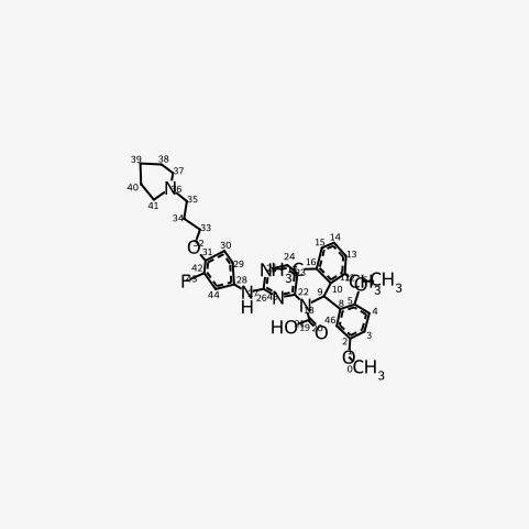 COc1ccc(OC)c(C(c2c(C)cccc2C)N(C(=O)O)c2ccnc(Nc3ccc(OCCCN4CCCCC4)c(F)c3)n2)c1